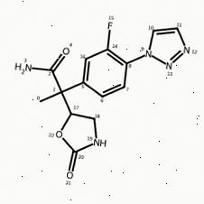 CC(C(N)=O)(c1ccc(-n2ccnn2)c(F)c1)C1CNC(=O)O1